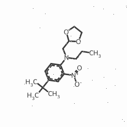 CCCN(CC1OCCO1)c1ccc(C(C)(C)C)cc1[N+](=O)[O-]